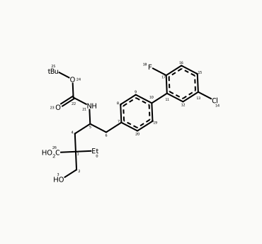 CCC(CO)(CC(Cc1ccc(-c2cc(Cl)ccc2F)cc1)NC(=O)OC(C)(C)C)C(=O)O